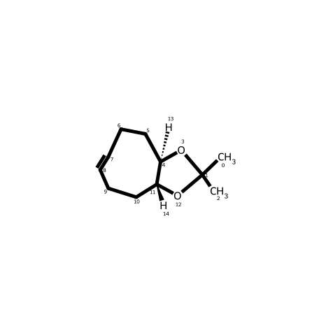 CC1(C)O[C@@H]2CC/C=C/CC[C@H]2O1